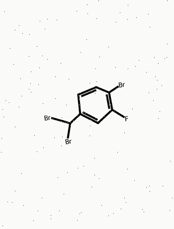 Fc1cc(C(Br)Br)ccc1Br